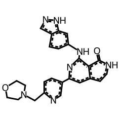 O=c1[nH]ccc2cc(-c3ccc(CN4CCOCC4)nc3)nc(Nc3ccc4cn[nH]c4c3)c12